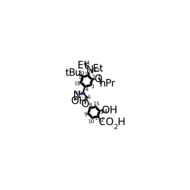 CCCOc1cc(/C(COc2ccc(C(=O)O)c(O)c2)=N/O)cc(C(C)(C)C)c1N(CC)CC